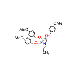 C=CCN1C[C@@H](OCc2ccc(OC)cc2)[C@H](OCc2ccc(OC)cc2)[C@H]1COCc1ccc(OC)cc1